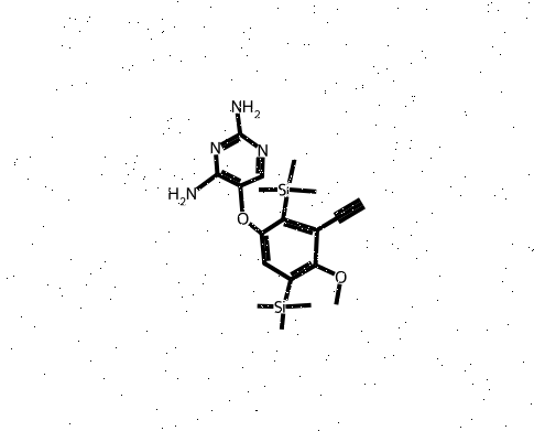 C#Cc1c(OC)c([Si](C)(C)C)cc(Oc2cnc(N)nc2N)c1[Si](C)(C)C